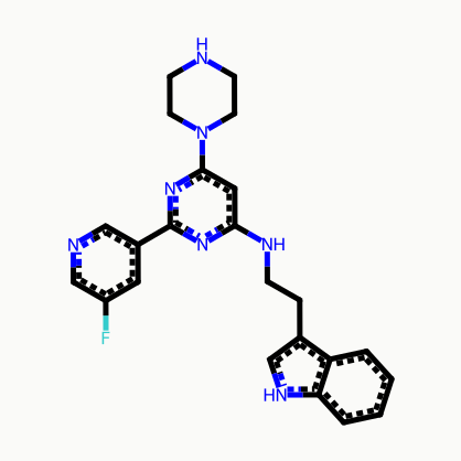 Fc1cncc(-c2nc(NCCc3c[nH]c4ccccc34)cc(N3CCNCC3)n2)c1